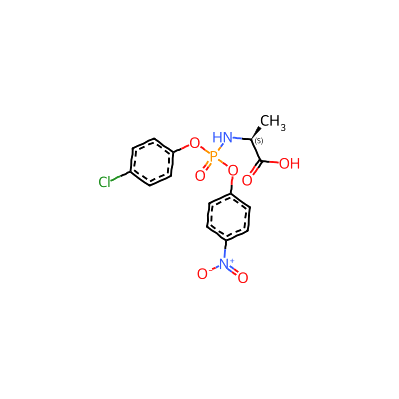 C[C@H](NP(=O)(Oc1ccc(Cl)cc1)Oc1ccc([N+](=O)[O-])cc1)C(=O)O